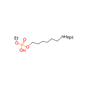 CCCCCCCCCCCCCOP(=O)(O)OCC